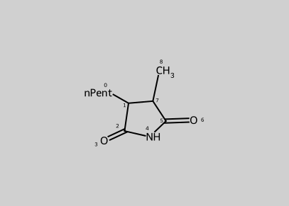 CCCCCC1C(=O)NC(=O)C1C